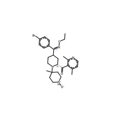 CCO/N=C(\c1ccc(Br)cc1)C1CCN(C2(C)CC[NH+]([O-])CC2)[C@@H](C(=O)c2c(C)ccnc2C)C1